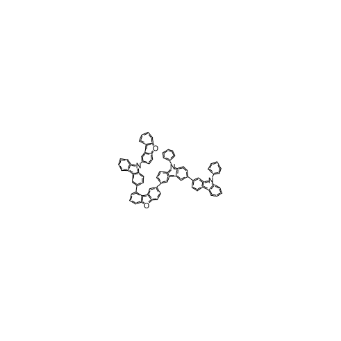 c1ccc(-n2c3ccc(-c4ccc5oc6cccc(-c7ccc8c(c7)c7ccccc7n8-c7ccc8oc9ccccc9c8c7)c6c5c4)cc3c3cc(-c4ccc5c6ccccc6n(-c6ccccc6)c5c4)ccc32)cc1